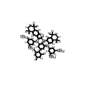 Cc1cc(C)c(-c2cc3c4c(c2)N(c2cc(C(C)(C)C)cc(C(C)(C)C)c2)c2c(oc5cc6c(cc25)C(C)(C)CCC6(C)C)B4c2cc4c(cc2N3c2cc(C(C)(C)C)cc(C(C)(C)C)c2)C(C)(C)CCC4(C)C)c(C)c1